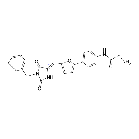 NCC(=O)Nc1ccc(-c2ccc(/C=C3\NC(=O)N(Cc4ccccc4)C3=O)o2)cc1